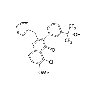 COc1ccc2nc(Cc3ccccc3)n(-c3cccc(C(O)(C(F)(F)F)C(F)(F)F)c3)c(=O)c2c1Cl